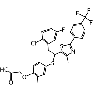 Cc1cc(SC(Cc2cc(F)ccc2Cl)c2sc(-c3ccc(C(F)(F)F)cc3)nc2C)ccc1OCC(=O)O